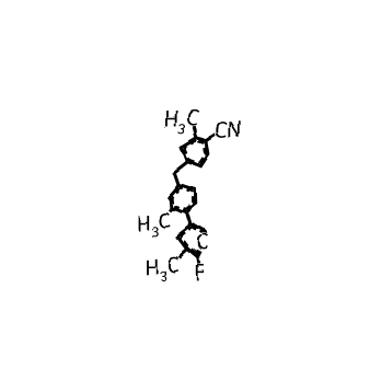 Cc1cc(-c2ccc(Cc3ccc(C#N)c(C)c3)cc2C)ccc1F